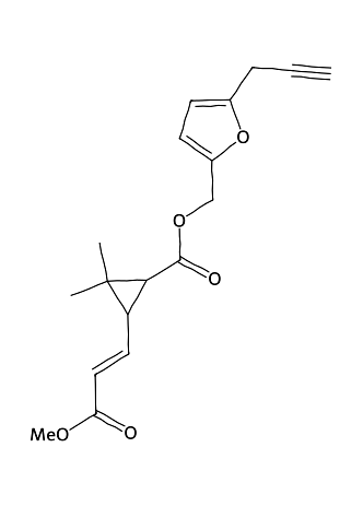 C#CCc1ccc(COC(=O)C2C(/C=C/C(=O)OC)C2(C)C)o1